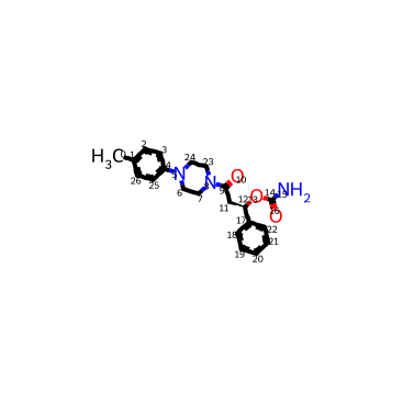 Cc1ccc(N2CCN(C(=O)C[C@@H](OC(N)=O)c3ccccc3)CC2)cc1